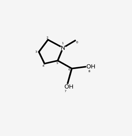 CN1CCCC1C(O)O